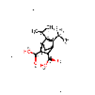 CC(C)C1=C(C(C)C)C2CC1C(C(=O)O)C2C(=O)O